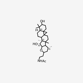 CC(=O)NCCC1C[C@@H](C)C2C(O1)[C@H](O)[C@@]1(C)C3CC[C@H]4C(C)(C)C(O)CCC45CC35CCC21C